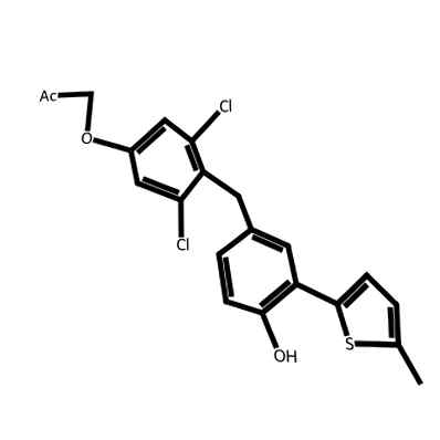 CC(=O)COc1cc(Cl)c(Cc2ccc(O)c(-c3ccc(C)s3)c2)c(Cl)c1